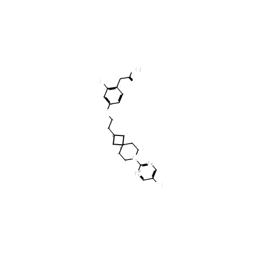 O=C(O)Cc1ccc(OCCC2CC3(CCN(c4ncc(Cl)cn4)CC3)C2)cc1F